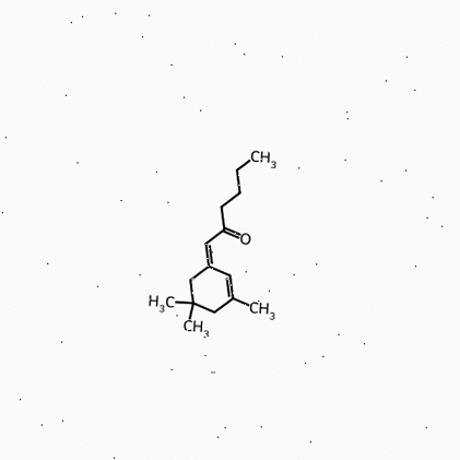 CCCCC(=O)C=C1C=C(C)CC(C)(C)C1